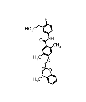 Cc1cc(C(=O)Nc2ccc(F)c(CC(=O)O)c2)c(C)cc1OC[C@@H]1CN(C)c2ccccc2O1